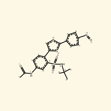 CC(=O)Nc1ccc(-c2cnc(-c3ccc(N=O)cc3)s2)c(S(=O)(=O)NC(C)(C)C)c1